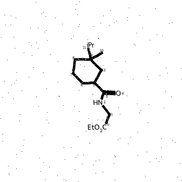 CCOC(=O)CNC(=O)C1CCCC(C)(C(C)C)C1